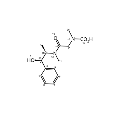 C[C@H]([C@H](O)c1ccccc1)N(C)C(=O)CN(C)C(=O)O